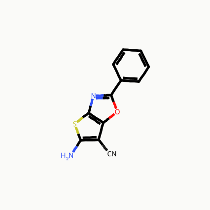 N#Cc1c(N)sc2nc(-c3ccccc3)oc12